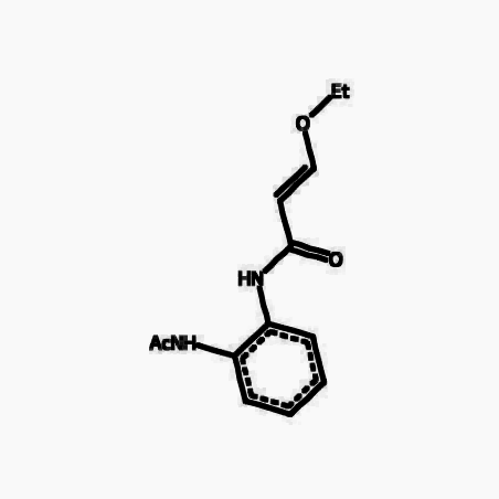 CCOC=CC(=O)Nc1ccccc1NC(C)=O